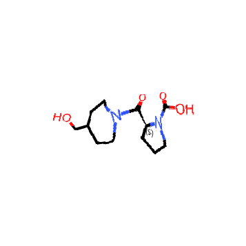 O=C([C@@H]1CCCN1C(=O)O)N1CCC(CO)CC1